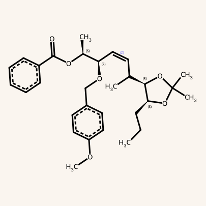 CCC[C@@H]1OC(C)(C)O[C@@H]1C(C)/C=C\[C@@H](OCc1ccc(OC)cc1)[C@H](C)OC(=O)c1ccccc1